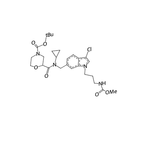 COC(=O)NCCCn1cc(Cl)c2ccc(CN(C(=O)C3CN(C(=O)OC(C)(C)C)CCO3)C3CC3)cc21